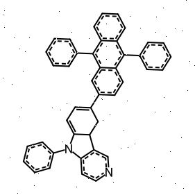 C1=C(c2ccc3c(-c4ccccc4)c4ccccc4c(-c4ccccc4)c3c2)CC2C(=C1)N(c1ccccc1)c1ccncc12